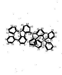 c1ccc(-c2cccc3c4c(-n5c6ccccc6c6c([Si](c7ccccc7)(c7ccccc7)c7ccccc7)cccc65)cccc4n(-c4ccccc4)c23)cc1